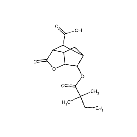 CCC(C)(C)C(=O)OC1C2CC3C1OC(=O)C3C2C(=O)O